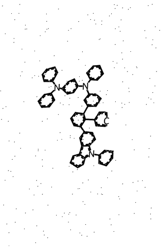 c1ccc(-c2c(-c3cccc(N(c4ccccc4)c4ccc(N(c5ccccc5)c5ccccc5)cc4)c3)cccc2-c2ccc3c(c2)c2ccccc2n3-c2ccccc2)cc1